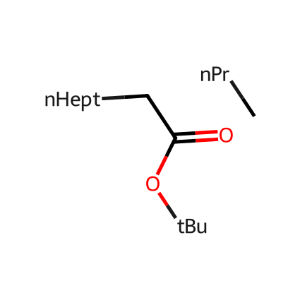 CCCC.CCCCCCCCC(=O)OC(C)(C)C